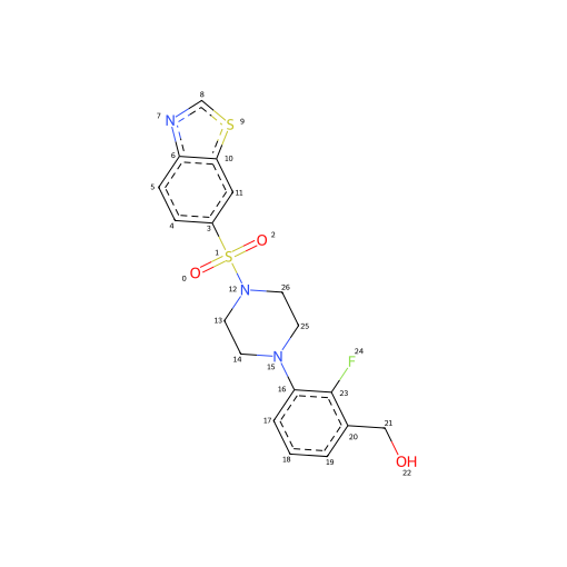 O=S(=O)(c1ccc2ncsc2c1)N1CCN(c2cccc(CO)c2F)CC1